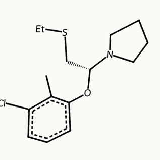 CCSC[C@@H](Oc1cccc(Cl)c1C)N1CCCC1